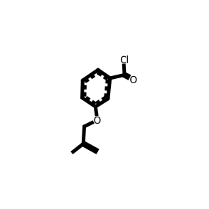 C=C(C)COc1cccc(C(=O)Cl)c1